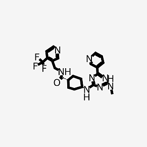 CNc1nc(N[C@H]2CC[C@@H](C(=O)NCc3cnccc3C(F)(F)F)CC2)nc(-c2cccnc2)n1